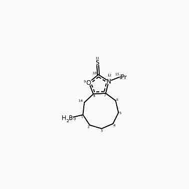 BC1CCCCCc2c(oc(=S)n2C(C)C)C1